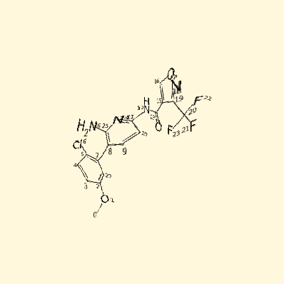 COc1ccc(Cl)c(-c2ccc(NC(=O)c3conc3C(F)(F)F)nc2N)c1